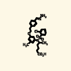 Cc1cc(OCCc2ccc(C=NN)cc2)cc(N(C(C)CCCC(=O)O)S(=O)(=O)c2ccccc2Cl)c1